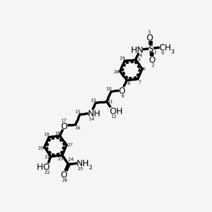 CS(=O)(=O)Nc1ccc(OCC(O)CNCCOc2ccc(O)c(C(N)=O)c2)cc1